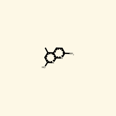 Cc1cc(O)nc2nc(N)ccc12